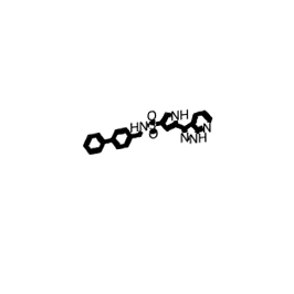 O=S(=O)(NCc1ccc(-c2ccccc2)cc1)c1c[nH]c(-c2n[nH]c3ncccc23)c1